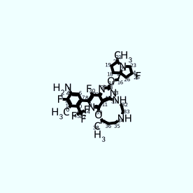 Cc1c(F)c(N)cc(-c2nc3c4c(nc(OC[C@@]56CCC(C)N5C[C@H](F)C6)nc4c2F)NCCNCC[C@H](C)O3)c1C(F)(F)F